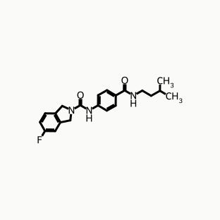 CC(C)CCNC(=O)c1ccc(NC(=O)N2Cc3ccc(F)cc3C2)cc1